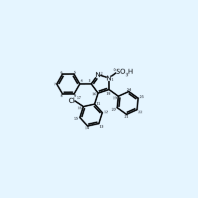 O=S(=O)(O)n1nc(-c2ccccc2)c(-c2ccccc2Cl)c1-c1ccccc1